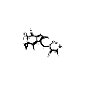 CON(CC1=C(C)C=C2C(=O)[C@](C)(O)C3(CC3)C(C)=C21)C(=O)C(C)N